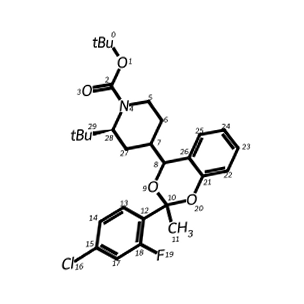 CC(C)(C)OC(=O)N1CCC(C2OC(C)(c3ccc(Cl)cc3F)Oc3ccccc32)C[C@H]1C(C)(C)C